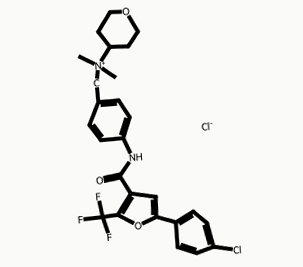 C[N+](C)(Cc1ccc(NC(=O)c2cc(-c3ccc(Cl)cc3)oc2C(F)(F)F)cc1)C1CCOCC1.[Cl-]